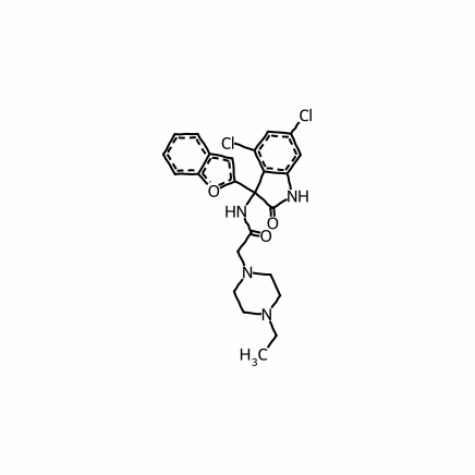 CCN1CCN(CC(=O)NC2(c3cc4ccccc4o3)C(=O)Nc3cc(Cl)cc(Cl)c32)CC1